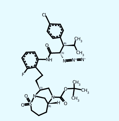 CC(C)[C@H](c1ccc(Cl)cc1)[C@H](N=[N+]=[N-])C(=O)Nc1cccc(F)c1CC[C@H]1CN(C(=O)OC(C)(C)C)[C@@H]2CCCS(=O)(=O)N1C2